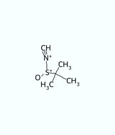 C#[N+][S@@+]([O-])C(C)(C)C